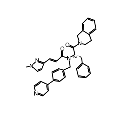 Cn1ccc(C=CC(=O)N(Cc2ccc(-c3ccncc3)cc2)[C@@H](Cc2ccccc2)C(=O)N2CCc3ccccc3C2)n1